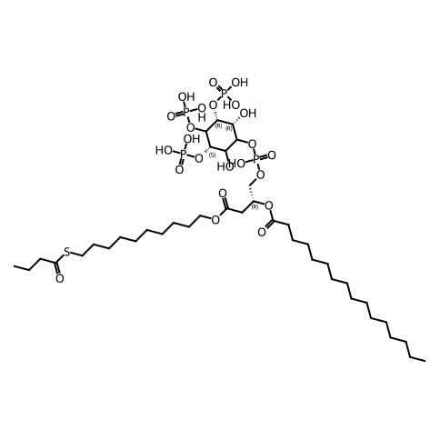 CCCCCCCCCCCCCCCC(=O)O[C@@H](COP(=O)(O)OC1C(O)[C@H](OP(=O)(O)O)C(OP(=O)(O)O)[C@H](OP(=O)(O)O)[C@@H]1O)CC(=O)OCCCCCCCCCCSC(=O)CCC